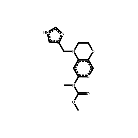 COC(=O)N(C)c1cc2c(cn1)OCCN2Cc1c[nH]cn1